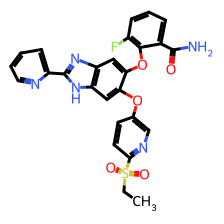 CCS(=O)(=O)c1ccc(Oc2cc3[nH]c(-c4ccccn4)nc3cc2Oc2c(F)cccc2C(N)=O)cn1